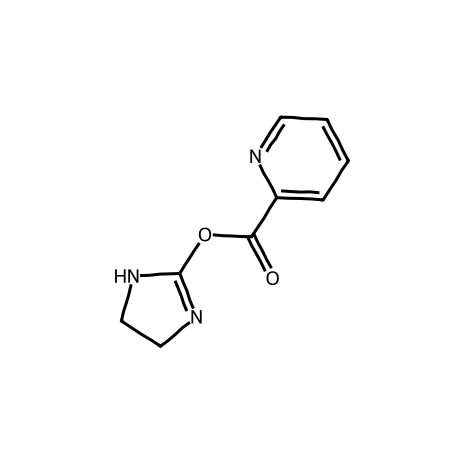 O=C(OC1=NCCN1)c1ccccn1